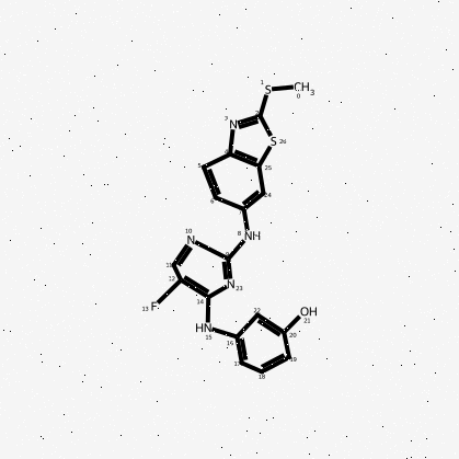 CSc1nc2ccc(Nc3ncc(F)c(Nc4cccc(O)c4)n3)cc2s1